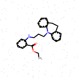 CCOC(=O)c1ccccc1NCCCN1c2ccccc2CCc2ccccc21